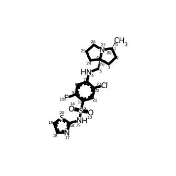 C[C@@H]1CC[C@]2(CNc3cc(F)c(S(=O)(=O)Nc4nccs4)cc3Cl)CCCN12